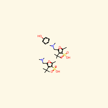 Cc1oc(CN(C)C)c(C(C)(C)C)c1S(=O)(=O)O.Cc1oc(CN(C)C)c(C(C)(C)C)c1S(=O)(=O)O.Oc1ccccc1